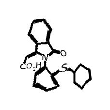 O=C(O)C=C1c2ccccc2C(=O)N1c1ccccc1SC1CCCCC1